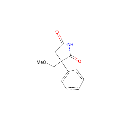 COCC1(c2ccccc2)CC(=O)NC1=O